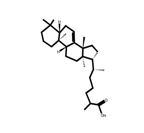 CC(CCC[C@@H](C)[C@H]1CC[C@@]2(C)C3=CC[C@H]4C(C)(C)CCC[C@]4(C)[C@H]3CC[C@]12C)C(=O)O